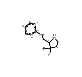 FC1(F)CCNC1CNc1ncccn1